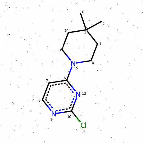 CC1(C)CCN(c2ccnc(Cl)n2)CC1